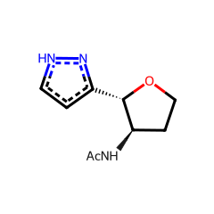 CC(=O)N[C@@H]1CCO[C@H]1c1cc[nH]n1